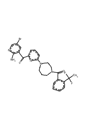 CC(F)(F)c1ccccc1C(=O)N1CCCN(c2cccc(C(=O)c3cc(Br)cnc3N)n2)CC1